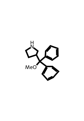 COC(c1ccccc1)(c1ccccc1)C1CCNC1